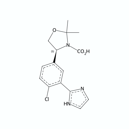 CC1(C)OC[C@H](c2ccc(Cl)c(-c3ncc[nH]3)c2)N1C(=O)O